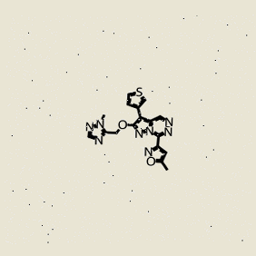 Cc1cc(-c2nncc3c(-c4ccsc4)c(OCc4ncnn4C)nn23)no1